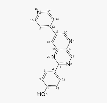 Oc1ccc(-c2ncc3ncc(-c4ccncc4)cc3n2)cc1